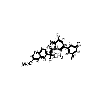 COc1cnc2ccc(C(C)(F)c3nnc4c(F)cc(-c5cc(F)cc(F)c5)cn34)cc2c1